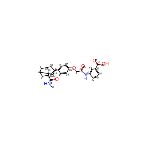 CNC(=O)C12CC3CC(C1)CC(c1ccc(OCC(=O)Nc4cccc(C(=O)O)c4)cc1)(C3)C2